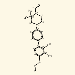 CCCc1ccc(-c2ccc(C3CCC(CC)C(F)(F)C3)cc2)c(F)c1F